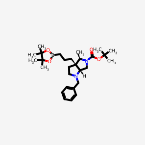 C[C@H]1N(C(=O)OC(C)(C)C)C[C@@H]2N(Cc3ccccc3)CC[C@@]21CCCB1OC(C)(C)C(C)(C)O1